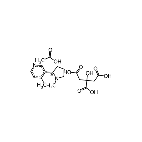 CC(=O)O.Cc1ccncc1[C@@H]1CCCN1C.O=C(O)CC(O)(CC(=O)O)C(=O)O